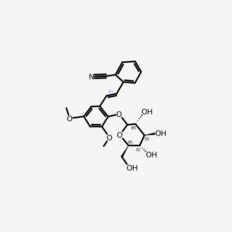 COc1cc(/C=C/c2ccccc2C#N)c(OC2O[C@H](CO)[C@@H](O)[C@H](O)[C@H]2O)c(OC)c1